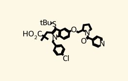 CC(C)(C)Sc1c(CC(C)(C)C(=O)O)n(Cc2ccc(Cl)cc2)c2ccc(OCC3CCCN3C(=O)c3ccncc3)cc12